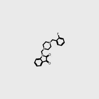 O=C1C(=O)N(CN2CCN(Cc3ccccc3F)CC2)c2ccccc21